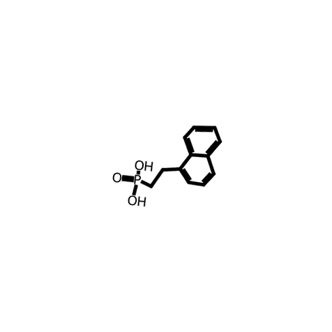 O=P(O)(O)CCc1cccc2ccccc12